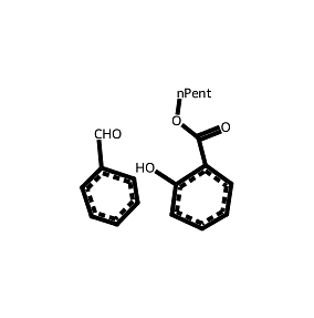 CCCCCOC(=O)c1ccccc1O.O=Cc1ccccc1